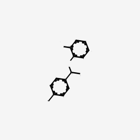 Cc1ccc(C(C)Oc2ccccc2C(=O)O)cc1